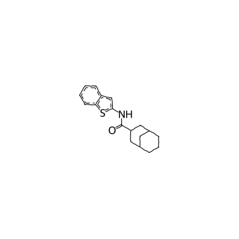 O=C(Nc1cc2ccccc2s1)C1CC2CCCC(C2)C1